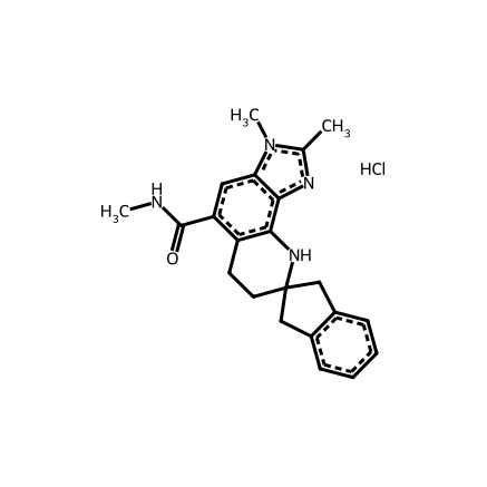 CNC(=O)c1cc2c(nc(C)n2C)c2c1CCC1(Cc3ccccc3C1)N2.Cl